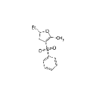 CCC1CC(S(=O)(=O)c2ccccc2)=C(C)O1